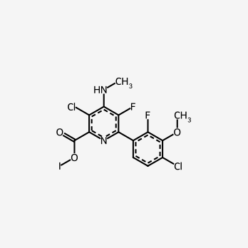 CNc1c(F)c(-c2ccc(Cl)c(OC)c2F)nc(C(=O)OI)c1Cl